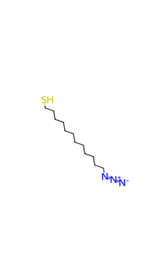 [N-]=[N+]=NCCCCCCCCCCCCS